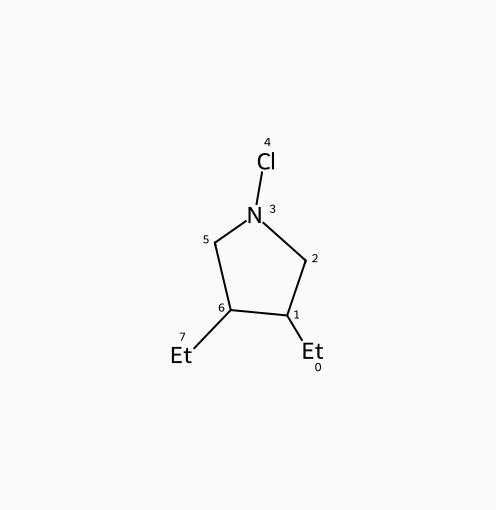 CCC1CN(Cl)CC1CC